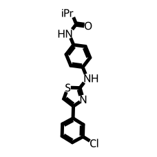 CC(C)C(=O)Nc1ccc(Nc2nc(-c3cccc(Cl)c3)cs2)cc1